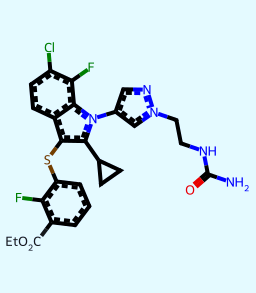 CCOC(=O)c1cccc(Sc2c(C3CC3)n(-c3cnn(CCNC(N)=O)c3)c3c(F)c(Cl)ccc23)c1F